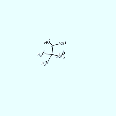 CC(C)(N)C(O)O.O